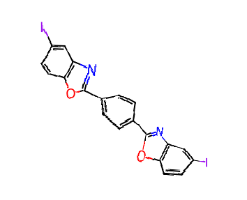 Ic1ccc2oc(-c3ccc(-c4nc5cc(I)ccc5o4)cc3)nc2c1